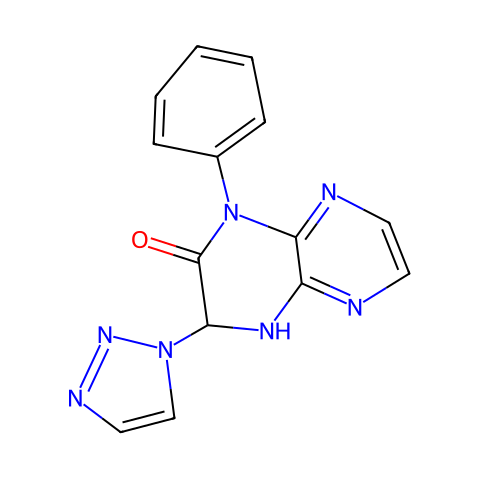 O=C1C(n2ccnn2)Nc2nccnc2N1c1ccccc1